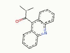 CC(C)C(=O)c1c2ccccc2nc2ccccc12